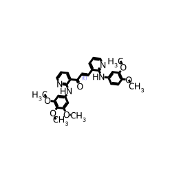 COc1ccc(Nc2ncccc2/C=C/C(=O)c2cccnc2Nc2cc(OC)c(OC)c(OC)c2)cc1OC